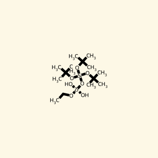 CC[O][Zr]([OH])([OH])[O][Si](OC(C)(C)C)(OC(C)(C)C)OC(C)(C)C